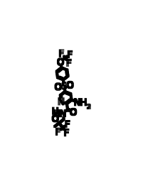 CC(O)(CNC(=O)c1ncc(S(=O)(=O)c2ccc(OC(F)(F)F)cc2)cc1N)C(F)(F)F